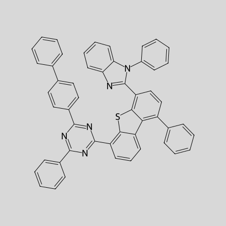 c1ccc(-c2ccc(-c3nc(-c4ccccc4)nc(-c4cccc5c4sc4c(-c6nc7ccccc7n6-c6ccccc6)ccc(-c6ccccc6)c45)n3)cc2)cc1